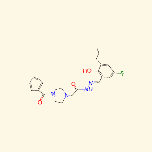 CCCc1cc(F)cc(C=NNC(=O)CN2CCN(C(=O)c3ccccc3)CC2)c1O